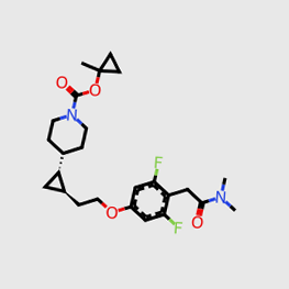 CN(C)C(=O)Cc1c(F)cc(OCC[C@H]2C[C@@H]2C2CCN(C(=O)OC3(C)CC3)CC2)cc1F